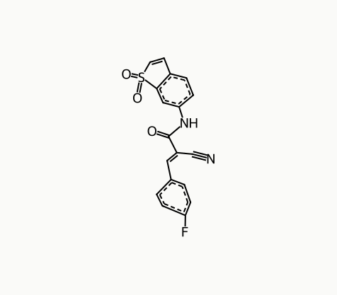 N#C/C(=C\c1ccc(F)cc1)C(=O)Nc1ccc2c(c1)S(=O)(=O)C=C2